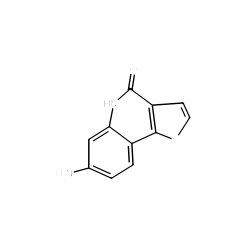 Nc1ccc2c(c1)[nH]c(=O)c1ccsc12